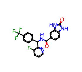 O=C(NC(c1ccc(C(F)(F)F)cc1)c1ncccc1F)c1ccc2[nH]c(=O)[nH]c2c1